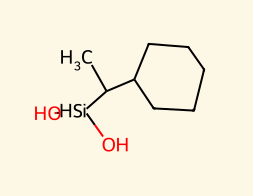 CC(C1CCCCC1)[SiH](O)O